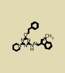 Cn1cc(/C=N/Nc2nc(OCCc3ccccc3)nc(N3CCCCC3)n2)c2ccccc21